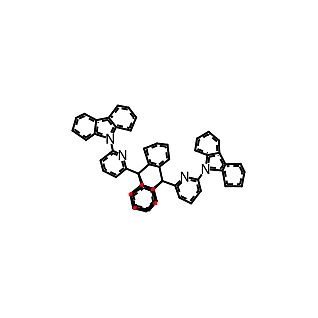 c1cc(-n2c3ccccc3c3ccccc32)nc(C23c4ccccc4C(c4cccc(-n5c6ccccc6c6ccccc65)n4)(c4ccccc42)c2ccccc23)c1